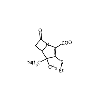 CCSC1=C(C(=O)[O-])N2C(=O)CC2C1(C)C.[Na+]